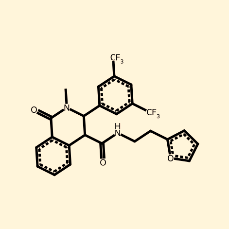 CN1C(=O)c2ccccc2C(C(=O)NCCc2ccco2)C1c1cc(C(F)(F)F)cc(C(F)(F)F)c1